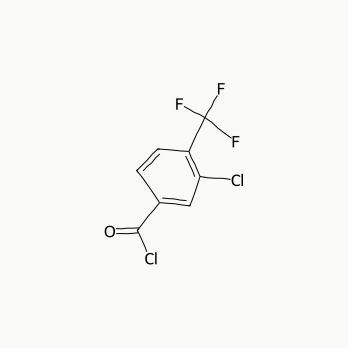 O=C(Cl)c1ccc(C(F)(F)F)c(Cl)c1